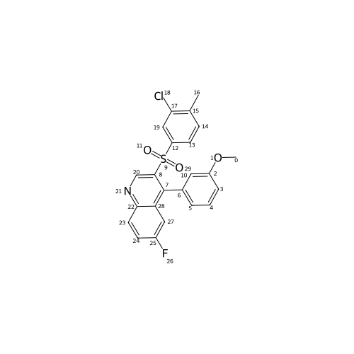 COc1cccc(-c2c(S(=O)(=O)c3ccc(C)c(Cl)c3)cnc3ccc(F)cc23)c1